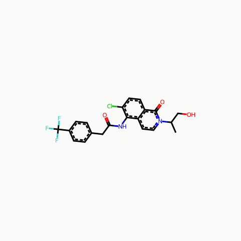 CC(CO)n1ccc2c(NC(=O)Cc3ccc(C(F)(F)F)cc3)c(Cl)ccc2c1=O